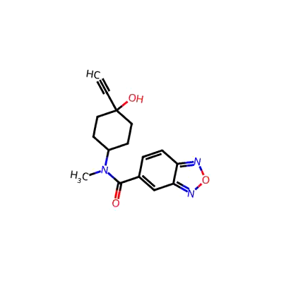 C#CC1(O)CCC(N(C)C(=O)c2ccc3nonc3c2)CC1